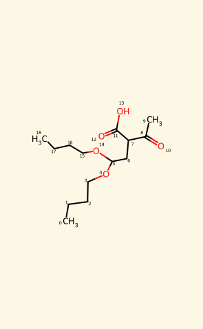 CCCCOC(CC(C(C)=O)C(=O)O)OCCCC